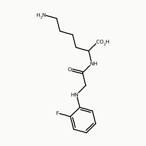 NCCCCC(NC(=O)CNc1ccccc1F)C(=O)O